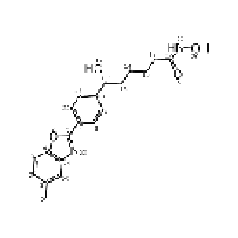 Cc1ccc2oc(-c3ccc([C@H](O)CCCCC(=O)NO)cc3)nc2c1